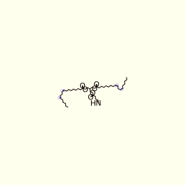 CCCCC/C=C\C/C=C\CCCCCCCC(=O)OCC(COC(=O)CCCCCCC/C=C\C/C=C\CCCCC)COC(=O)CCCNC